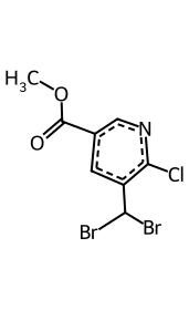 COC(=O)c1cnc(Cl)c(C(Br)Br)c1